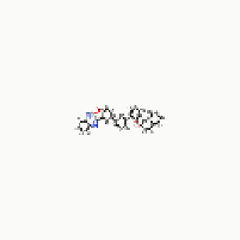 c1cc(-c2ccc3oc4nc5ccccc5nc4c3c2)cc(-c2cccc3c2oc2ccc4ccccc4c23)c1